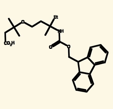 CCC(C)(CCOC(C)(C)CC(=O)O)NC(=O)OCC1c2ccccc2-c2ccccc21